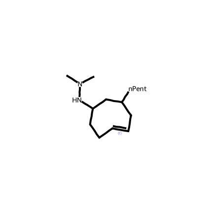 CCCCCC1C/C=C/CCC(NN(C)C)C1